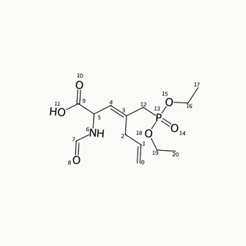 C=CC/C(=C\C(NC=O)C(=O)O)CP(=O)(OCC)OCC